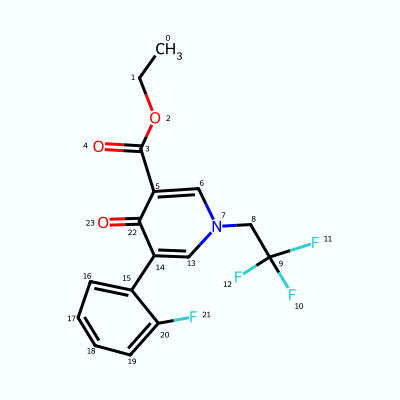 CCOC(=O)c1cn(CC(F)(F)F)cc(-c2ccccc2F)c1=O